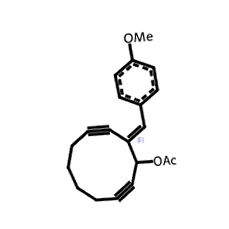 COc1ccc(/C=C2\C#CCCCCC#CC2OC(C)=O)cc1